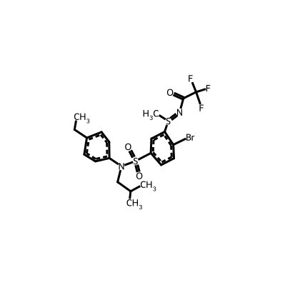 CCc1ccc(N(CC(C)C)S(=O)(=O)c2ccc(Br)c(/S(C)=N/C(=O)C(F)(F)F)c2)cc1